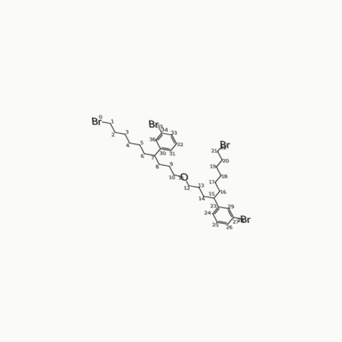 BrCCCCCCC(CCCOCCCC(CCCCCCBr)c1cccc(Br)c1)c1cccc(Br)c1